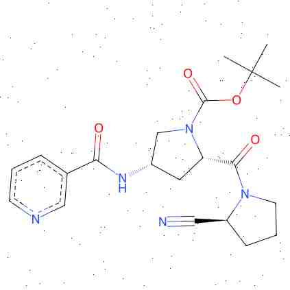 CC(C)(C)OC(=O)N1C[C@@H](NC(=O)c2cccnc2)C[C@H]1C(=O)N1CCC[C@H]1C#N